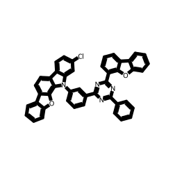 Clc1ccc2c3ccc4c5ccccc5oc4c3n(-c3cccc(-c4nc(-c5ccccc5)nc(-c5cccc6c5oc5ccccc56)n4)c3)c2c1